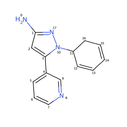 Nc1cc(-c2cccnc2)n(C2C=CC=CC2)n1